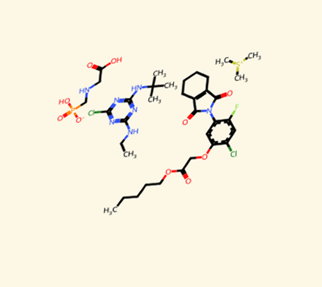 CCCCCOC(=O)COc1cc(N2C(=O)C3=C(CCCC3)C2=O)c(F)cc1Cl.CCNc1nc(Cl)nc(NC(C)(C)C)n1.C[S+](C)C.O=C(O)CNCP(=O)([O-])O